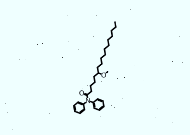 CCCCCCCCCCCC(CCCCC(=O)N(c1ccccc1)c1ccccc1)OC